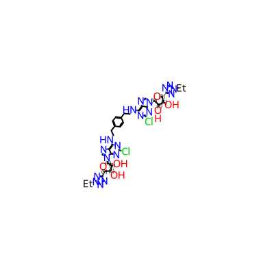 CCn1nnc([C@H]2O[C@@H](n3cnc4c(NCCc5ccc(CCNc6nc(Cl)nc7c6ncn7[C@@H]6O[C@H](c7nnn(CC)n7)[C@@H](O)[C@H]6O)cc5)nc(Cl)nc43)[C@H](O)[C@@H]2O)n1